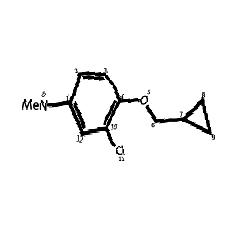 CNc1ccc(OCC2CC2)c(Cl)c1